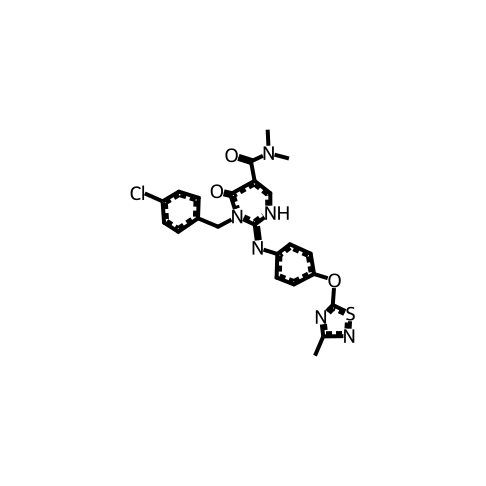 Cc1nsc(Oc2ccc(/N=c3\[nH]cc(C(=O)N(C)C)c(=O)n3Cc3ccc(Cl)cc3)cc2)n1